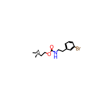 C[Si](C)(C)CCOC(=O)NCCc1cccc(Br)c1